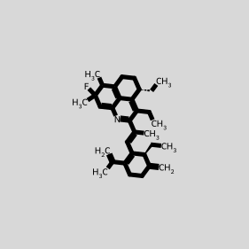 C=C(C)C1=C(/C=C(\C)c2nc3c4c(c2CC)[C@@H](CC)CCC=4C(C)C(C)(F)C=3)[C@@H](CC)C(=C)CC1